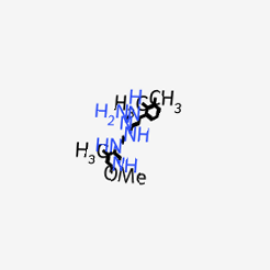 COC1C=C(C)C(NCCNC2=CC(c3cccc(C)c3C)NC(N)=N2)=CN1